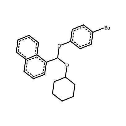 CCC(C)c1ccc(OC(OC2CCCCC2)c2cccc3ccccc23)cc1